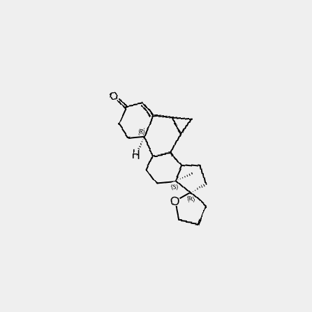 C[C@]12CCC3C(C4CC4C4=CC(=O)CC[C@@H]43)C1CC[C@@]21CCCO1